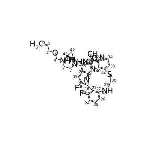 C=CCOCN1CCN(c2nc(=O)n3c4nc(c(F)cc24)-c2c(F)cccc2NCCSc2ccnc(C(C)C)c2-3)[C@H]2C[C@H]21